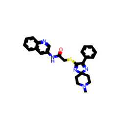 CN1CCC2(CC1)N=C(SCC(=O)Nc1cnc3ccccc3c1)C(c1ccccc1)=N2